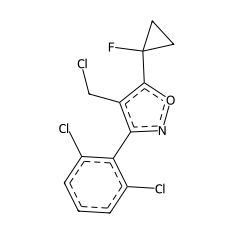 FC1(c2onc(-c3c(Cl)cccc3Cl)c2CCl)CC1